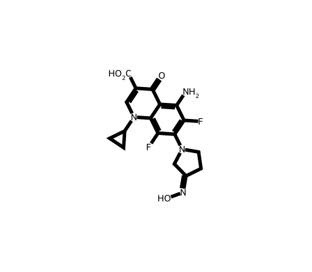 Nc1c(F)c(N2CCC(=NO)C2)c(F)c2c1c(=O)c(C(=O)O)cn2C1CC1